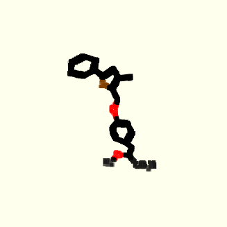 CCOC(Cc1ccc(OCc2sc(-c3ccccc3)cc2C)cc1)C(=O)O